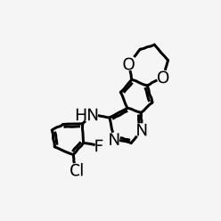 Fc1c(Cl)cccc1Nc1ncnc2cc3c(cc12)OCCCO3